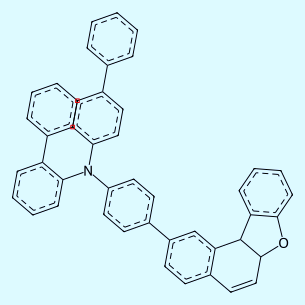 C1=CC2Oc3ccccc3C2c2cc(-c3ccc(N(c4ccc(-c5ccccc5)cc4)c4ccccc4-c4ccccc4)cc3)ccc21